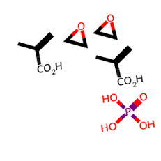 C1CO1.C1CO1.C=C(C)C(=O)O.C=C(C)C(=O)O.O=P(O)(O)O